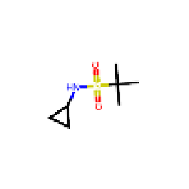 CC(C)(C)S(=O)(=O)NC1CC1